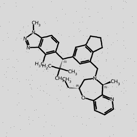 [CH2]C(C)(C)[C@@H](c1cc2c(c(CN3C[C@@H](CC)Oc4cccnc4[C@@H]3C)c1)CCC2)c1ccc2c(nnn2C)c1C